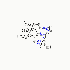 CCC.O=C(O)CCN1CC1.O=C(O)CCN1CC1.O=C(O)CCN1CC1